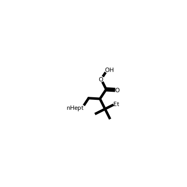 CCCCCCCCC(C(=O)OO)C(C)(C)CC